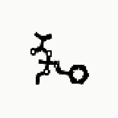 C=C(C)C(=O)OC(C)(N=Cc1ccccc1)OCC